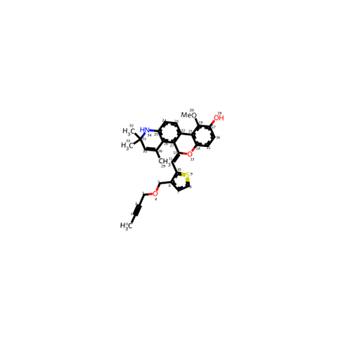 CC#CCOCc1ccsc1/C=C1\Oc2ccc(O)c(OC)c2-c2ccc3c(c21)C(C)=CC(C)(C)N3